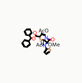 COC1(N(C(C)=O)c2cccs2)C(=O)N2C=C(OC(C)=O)C(C(=O)OC(c3ccccc3)c3ccccc3)S[C@@H]21